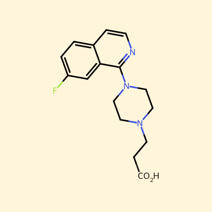 O=C(O)CCN1CCN(c2nccc3ccc(F)cc23)CC1